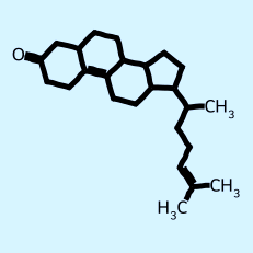 CC(C)=CCCC(C)C1CCC2C3CCC4CC(=O)CCC4=C3CCC12